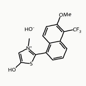 COc1ccc2c(-c3sc(O)c[n+]3C)cccc2c1C(F)(F)F.[OH-]